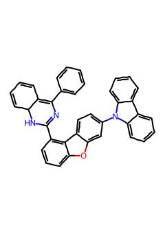 C1=CC2=C(c3ccccc3)N=C(c3cccc4oc5cc(-n6c7ccccc7c7ccccc76)ccc5c34)NC2C=C1